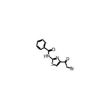 O=C(Nc1nc(C(=O)CBr)cs1)c1ccccc1